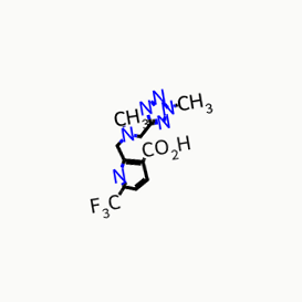 CN(Cc1nnn(C)n1)Cc1nc(C(F)(F)F)ccc1C(=O)O